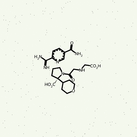 N=C(N)c1ccc(C(N)=O)cn1.O=C(O)CNCC(=O)N1CCC[C@]1(C(=O)O)C1CCOCC1